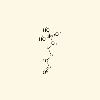 O=COCCOP(=O)(O)O